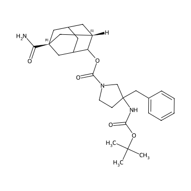 CC(C)(C)OC(=O)NC1(Cc2ccccc2)CCN(C(=O)OC2C3CC4C[C@H]2C[C@@](C(N)=O)(C4)C3)C1